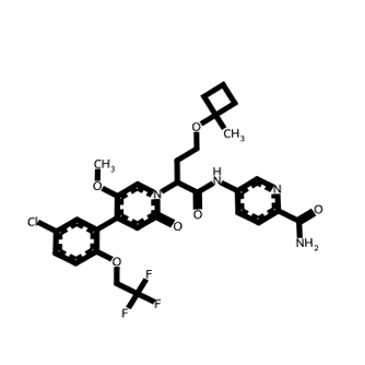 COc1cn(C(CCOC2(C)CCC2)C(=O)Nc2ccc(C(N)=O)nc2)c(=O)cc1-c1cc(Cl)ccc1OCC(F)(F)F